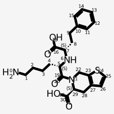 NCCCC[C@H](N[C@@H](CCc1ccccc1)C(=O)O)C(=O)N1Cc2sccc2C[C@H]1C(=O)O